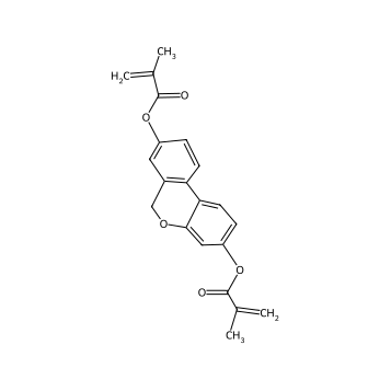 C=C(C)C(=O)Oc1ccc2c(c1)COc1cc(OC(=O)C(=C)C)ccc1-2